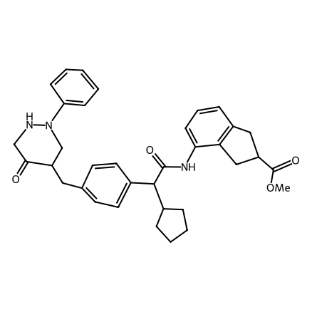 COC(=O)C1Cc2cccc(NC(=O)C(c3ccc(CC4CN(c5ccccc5)NCC4=O)cc3)C3CCCC3)c2C1